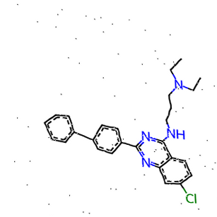 CCN(CC)CCCNc1nc(-c2ccc(-c3ccccc3)cc2)nc2cc(Cl)ccc12